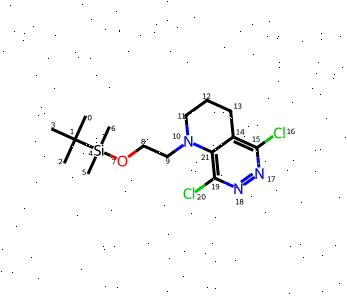 CC(C)(C)[Si](C)(C)OCCN1CCCc2c(Cl)nnc(Cl)c21